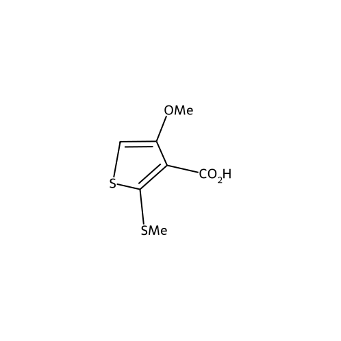 COc1csc(SC)c1C(=O)O